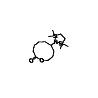 C[Si]1(C)CC[Si](C)(C)N1C1CCCCC(=O)OCCC1